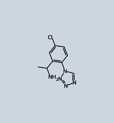 CC(N)c1cc(Cl)ccc1-n1cnnn1